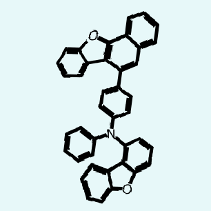 c1ccc(N(c2ccc(-c3cc4ccccc4c4oc5ccccc5c34)cc2)c2cccc3oc4ccccc4c23)cc1